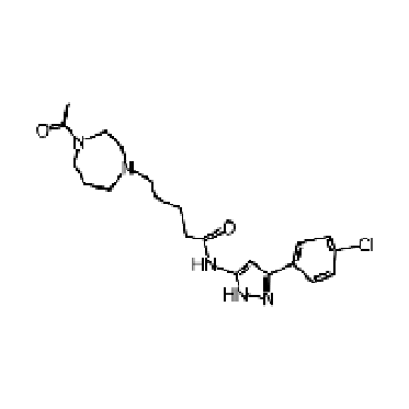 CC(=O)N1CCCN(CCCCC(=O)Nc2cc(-c3ccc(Cl)cc3)n[nH]2)CC1